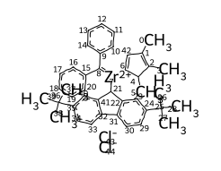 CC1=C(C)C(C)[C]([Zr+2](=[C](c2ccccc2)c2ccccc2)[CH]2c3cc(C(C)(C)C)ccc3-c3ccc(C(C)(C)C)cc32)=C1.[Cl-].[Cl-]